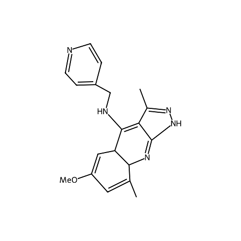 COC1=CC2C(NCc3ccncc3)=c3c(C)n[nH]c3=NC2C(C)=C1